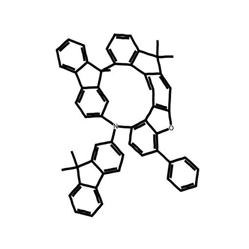 CC1(C)c2ccccc2-c2ccc(N3c4ccc5c(c4)C(C)(c4ccccc4-5)c4cccc5c4-c4cc6c(cc4C5(C)C)oc4c(-c5ccccc5)ccc3c46)cc21